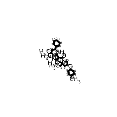 CCC1(CC)CC(Oc2ccc(C)cc2)CN1C(=O)c1cnn2c1NC(c1ccccc1)CC2(C)C